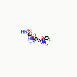 CS(=N)(=O)c1ccc(C(=O)N[C@@]2(N)C#C[C@]3(C2)C[C@](N)(c2nc4cc(Cl)ccc4o2)C3)o1